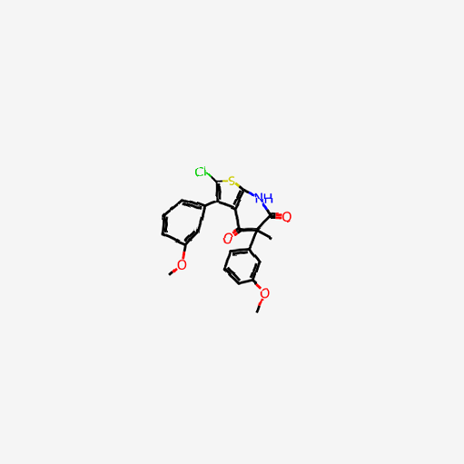 COc1cccc(-c2c(Cl)sc3c2C(=O)C(C)(c2cccc(OC)c2)C(=O)N3)c1